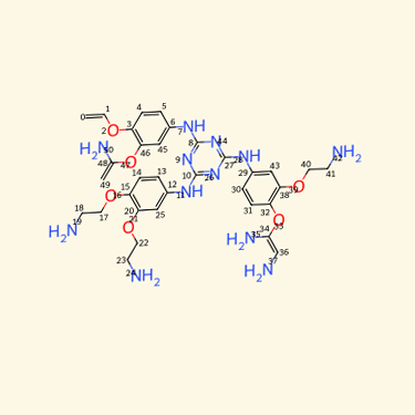 C=COc1ccc(Nc2nc(Nc3ccc(OCCN)c(OCCN)c3)nc(Nc3ccc(OC(N)=CN)c(OCCN)c3)n2)cc1OC(=C)N